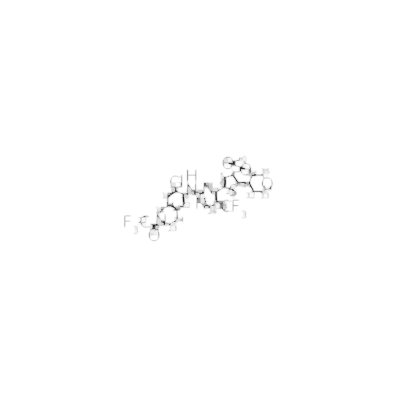 CS(=O)(=O)c1cc(-c2nc(Nc3cc4c(cc3Cl)CN(C(=O)C(F)(F)F)CC4)ncc2C(F)(F)F)sc1C1=CCOCC1